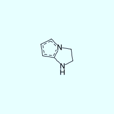 c1cc2n(c1)CCN2